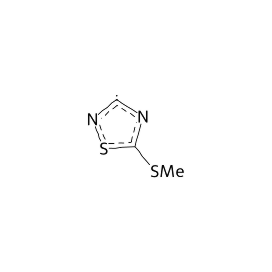 CSc1n[c]ns1